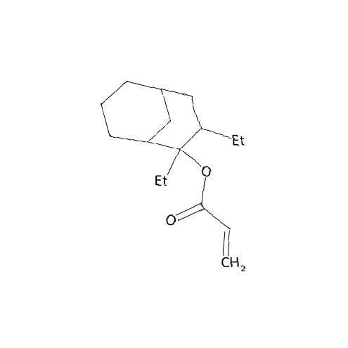 C=CC(=O)OC1(CC)C(CC)CC2CCCC1C2